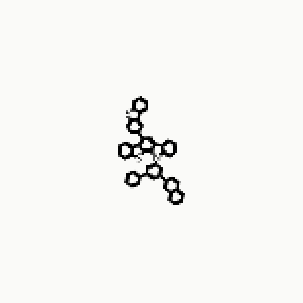 c1ccc(-c2cc(-c3ccc4ccccc4c3)cc(-n3c4ccccc4c4cc(-c5ccc6sc7ccccc7c6c5)c5c6ccccc6sc5c43)c2)cc1